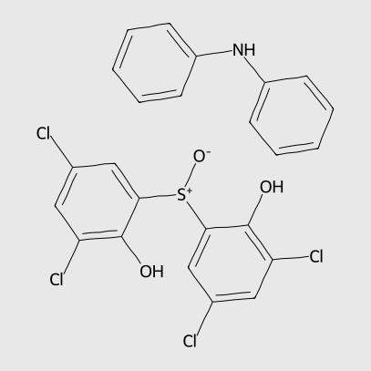 [O-][S+](c1cc(Cl)cc(Cl)c1O)c1cc(Cl)cc(Cl)c1O.c1ccc(Nc2ccccc2)cc1